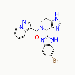 O=C(c1cnn2ccccc12)N1CCc2[nH]cnc2[C@H]1c1nc2ccc(Br)cc2[nH]1